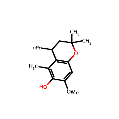 CCCC1CC(C)(C)Oc2cc(OC)c(O)c(C)c21